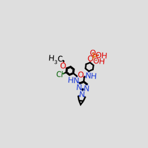 CCOc1ccc(CNc2nc(N3CC4CC4C3)ncc2C(=O)NC2CCC(OP(=O)(O)O)CC2)cc1Cl